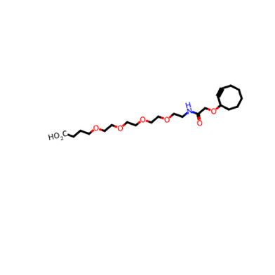 O=C(O)CCCOCCOCCOCCOCCNC(=O)COC1C#CCCCCC1